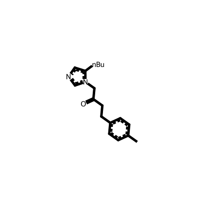 CCCCc1cncn1CC(=O)CCc1ccc(C)cc1